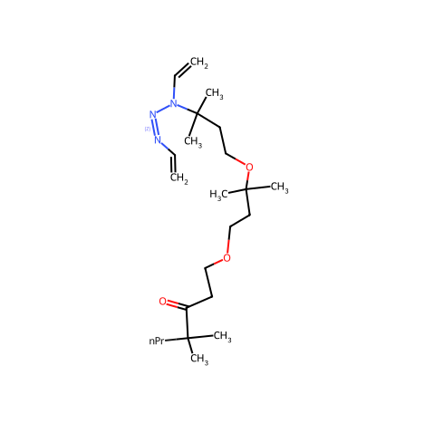 C=C/N=N\N(C=C)C(C)(C)CCOC(C)(C)CCOCCC(=O)C(C)(C)CCC